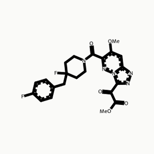 COC(=O)C(=O)c1nnc2cc(OC)c(C(=O)N3CCC(F)(Cc4ccc(F)cc4)CC3)nn12